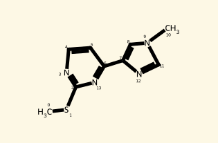 CSc1nccc(-c2cn(C)cn2)n1